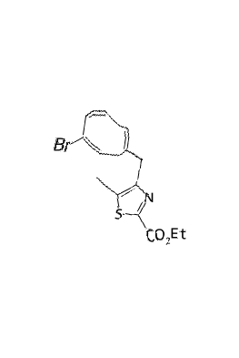 CCOC(=O)c1nc(Cc2cccc(Br)c2)c(C)s1